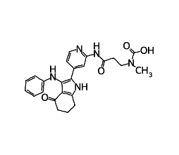 CN(CCC(=O)Nc1cc(-c2[nH]c3c(c2Nc2ccccc2)C(=O)CCC3)ccn1)C(=O)O